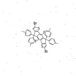 Cc1ccc(C2(c3ccc(C)cc3)c3cc(Br)sc3-c3c(F)c4c(c(F)c32)-c2sc(Br)cc2C4(c2ccc(C)cc2)c2ccc(C)cc2)cc1